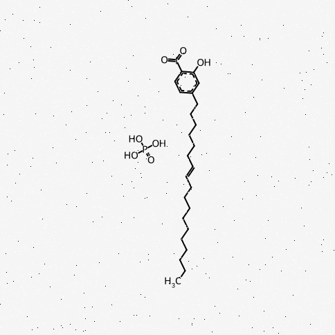 CCCCCCCCCCC=CCCCCCCc1ccc(I(=O)=O)c(O)c1.O=P(O)(O)O